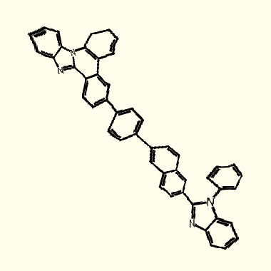 C1=Cc2c(n3c4ccccc4nc3c3ccc(-c4ccc(-c5ccc6cc(-c7nc8ccccc8n7-c7ccccc7)ccc6c5)cc4)cc23)CC1